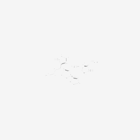 CCCCCC1=NCCN1.CCCCCCCC1=NCCN1.CCCCCCCCCC1=NCCN1.CCCCCCCCCCCCCC1=NCCN1